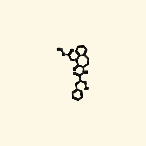 CC(=O)S[C@@H](Cc1ccccc1)C(=O)NC1CCc2ccccc2N(CC(=O)OC(C)(C)C)C1=O